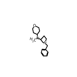 CN(C1CCOCC1)C1CCN(Cc2ccccc2)C1